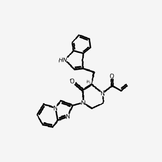 C=CC(=O)N1CCN(c2cn3ccccc3n2)C(=O)[C@H]1Cc1c[nH]c2ccccc12